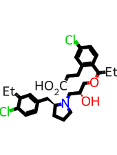 CCC(OC[C@H](O)CN1CCC[C@H]1CC1=CC(CC)C(Cl)C=C1)c1ccc(Cl)cc1CCC(=O)O